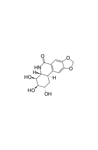 O=C1N[C@H]2[C@H](O)[C@H](O)[C@@H](O)C[C@@H]2c2cc3c(cc21)OCO3